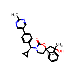 Cc1ncc(-c2ccc([C@H](C3CC3)N3CCC(CC(C)(C)O)(c4ccccc4)OC3=O)cc2)cn1